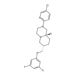 Fc1cc(F)cc(OC[C@H]2CC[C@H]3CN(c4ccc(Cl)cn4)CCN3C2)c1